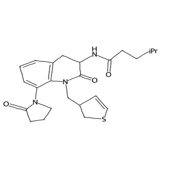 CC(C)CCC(=O)NC1Cc2cccc(N3CCCC3=O)c2N(CC2C=CSC2)C1=O